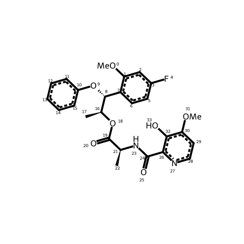 COc1cc(F)ccc1[C@@H](Oc1ccccc1)[C@H](C)OC(=O)[C@H](C)NC(=O)c1nccc(OC)c1O